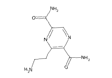 NCCc1nc(C(N)=O)cnc1C(N)=O